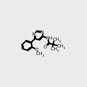 COc1ccccc1-c1cc(NC(=O)C(C)(C)C)ncn1